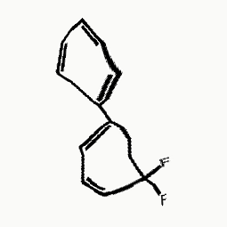 FC1(F)C=CC=C(c2ccccc2)C1